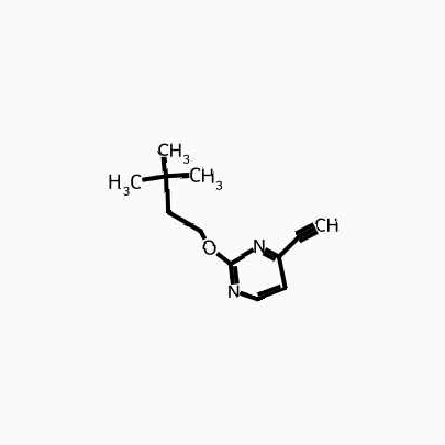 C#Cc1ccnc(OCCC(C)(C)C)n1